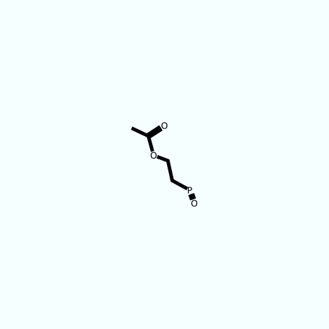 CC(=O)OCCP=O